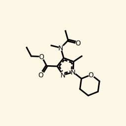 CCOC(=O)c1nn(C2CCCCO2)c(C)c1N(C)C(C)=O